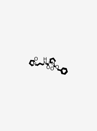 O=C(NCCCN1CCCC1=O)[C@@H]1CCCN1C(=O)OCc1ccccc1